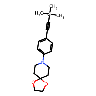 C[Si](C)(C)C#Cc1ccc(N2CCC3(CC2)OCCO3)cc1